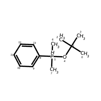 CC(C)(C)O[PH](C)(C)c1ccccc1